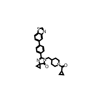 O=C(C1CC1)N1CCC(CN2C(=O)C3(CC3)N=C2c2ccc(-c3ccc4scnc4c3)cc2)CC1